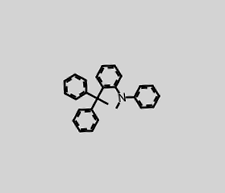 CN(c1ccccc1)c1ccccc1C(C)(c1ccccc1)c1ccccc1